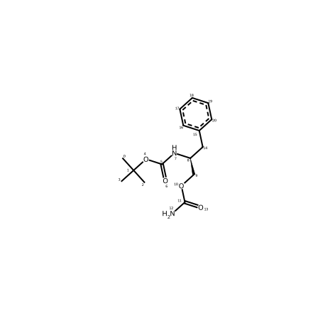 CC(C)(C)OC(=O)N[C@H](COC(N)=O)Cc1ccccc1